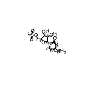 CS(=O)(=O)OC[C@H]1O[C@@H](n2cnc(N)nc2=O)C(O)C1O